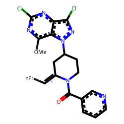 CCC/C=C1\CC(n2nc(Cl)c3nc(Cl)nc(OC)c32)CCN1C(=O)c1cccnc1